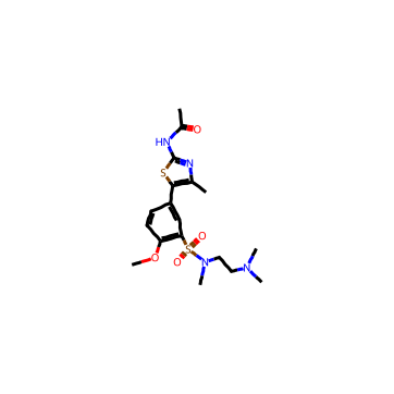 COc1ccc(-c2sc(NC(C)=O)nc2C)cc1S(=O)(=O)N(C)CCN(C)C